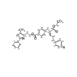 Cc1oc(-c2ccccc2)nc1CCOC(=O)c1ccc(CC(SCCc2ccc(F)cc2)C(=O)OCC(Cl)(Cl)Cl)cc1